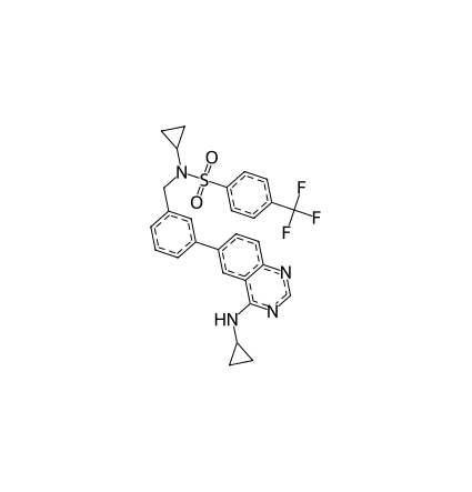 O=S(=O)(c1ccc(C(F)(F)F)cc1)N(Cc1cccc(-c2ccc3ncnc(NC4CC4)c3c2)c1)C1CC1